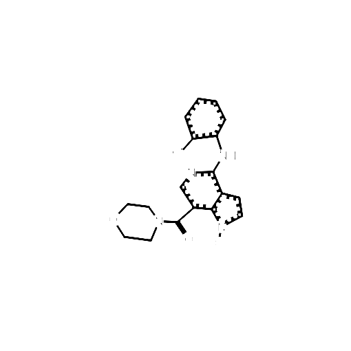 Cn1ccc2c(Nc3ccccc3Cl)ncc(C(=O)N3CCOCC3)c21